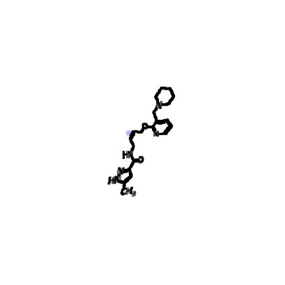 Cc1cc(C(=O)NC/C=C\COc2ncccc2CN2CCCCC2)n[nH]1